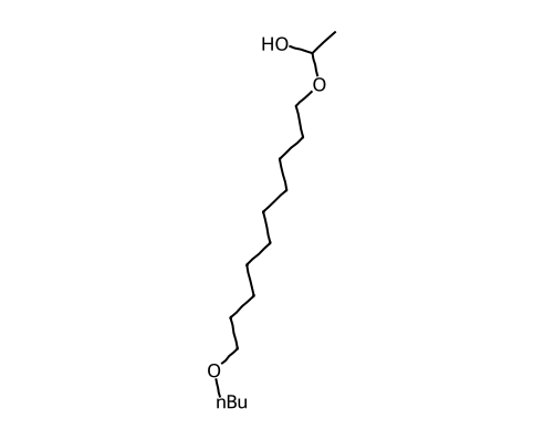 CCCCOCCCCCCCCCCOC(C)O